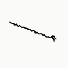 CCCCCCCCCCCCCCCCCCCCCCCCC1=C(C)[N]C=C1